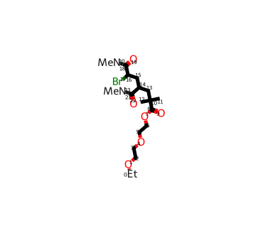 CCOCCOCCOC(=O)C(C)(C)CC(CC(Br)C(=O)NC)C(=O)NC